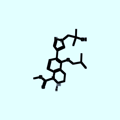 COC(=O)N1c2ccc(-c3cnn(CC(C)(C)O)c3)c(OCC(C)C)c2CC[C@@H]1C